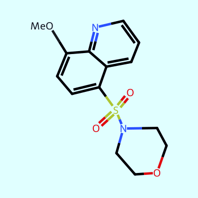 COc1ccc(S(=O)(=O)N2CCOCC2)c2cccnc12